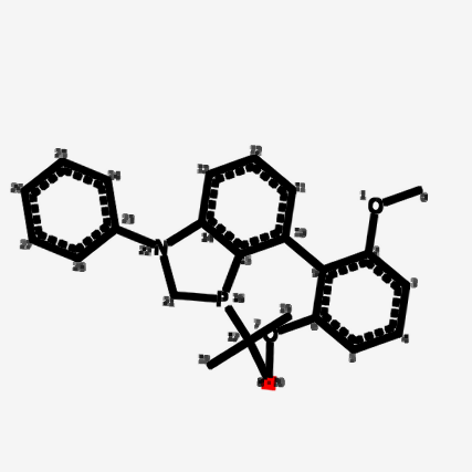 COc1cccc(OC)c1-c1cccc2c1P(C(C)(C)C)CN2c1ccccc1